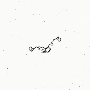 c1cc(CSCC2CO2)c(CSCC2CO2)[se]1